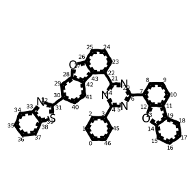 c1ccc(-c2nc(-c3cccc4c3oc3ccccc34)nc(-c3cccc4oc5cc(-c6nc7ccccc7s6)ccc5c34)n2)cc1